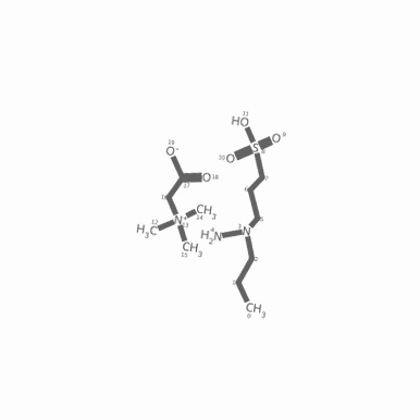 CCCN(N)CCCS(=O)(=O)O.C[N+](C)(C)CC(=O)[O-]